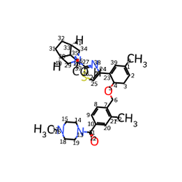 CC1=CCC(OCc2ccc(C(=O)N3CCN(C)CC3)cc2C)C(c2csc(N3C[C@H]4CC[C@@H](C3)C4CC(=O)O)n2)=C1